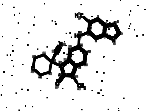 Cc1cc2scnc2cc1Nc1ncc2c(n1)n(C1(C#N)CCOCC1)c(=O)n2C